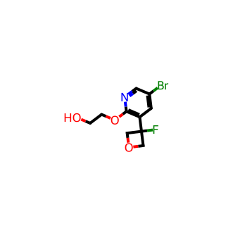 OCCOc1ncc(Br)cc1C1(F)COC1